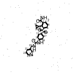 NC(=O)c1cccc(S(=O)(=O)c2ccc(NC(=O)NCc3cccnc3)cc2)c1C1CC1